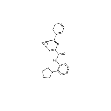 O=C(Nc1ccccc1N1CCCC1)C1=CC2C=C2C(C2=CC=CCC2)=N1